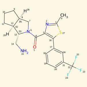 Cc1nc(C(=O)N2C[C@@H]3CCC[C@@H]3[C@H]2CN)c(-c2cccc(C(F)(F)F)c2)s1